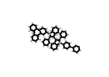 c1ccc(-c2ccc(-n3c(-c4ccccc4)c(-c4c(-c5ccccc5)n(-c5ccc6c7ccccc7c7ccccc7c6c5)c5ccccc45)c4ccccc43)cc2)cc1